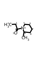 C[CH]C(=O)N1CCCCC1C